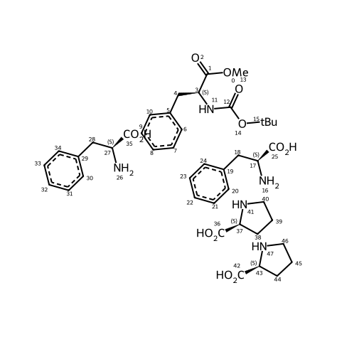 COC(=O)[C@H](Cc1ccccc1)NC(=O)OC(C)(C)C.N[C@@H](Cc1ccccc1)C(=O)O.N[C@@H](Cc1ccccc1)C(=O)O.O=C(O)[C@@H]1CCCN1.O=C(O)[C@@H]1CCCN1